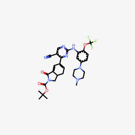 CN1CCN(c2ccc(OC(F)(F)F)c(Nc3ncc(C#N)c(C4=CCC5CN(C(=O)OC(C)(C)C)C(=O)C5=C4)n3)c2)CC1